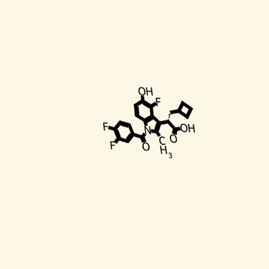 Cc1c([C@H](CC2CCC2)C(=O)O)c2c(F)c(O)ccc2n1C(=O)c1ccc(F)c(F)c1